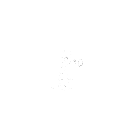 CCC(C(=O)[C@@H](C)[C@@H](O)[C@H](C)[C@@H]1O[C@@H]([C@@H](CC)C(=O)O)CC[C@@H]1C)[C@H]1O[C@]2(C=C[C@@H](NC(=O)C(=O)NCc3ccccn3)[C@]3(CC[C@@](C)([C@H]4CC[C@](O)(CC)[C@H](C)O4)O3)O2)[C@H](C)C[C@@H]1C